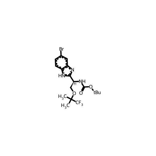 CC(C)(C)OC(=O)N[C@@H](COC(C)(C)C(F)(F)F)c1nc2cc(Br)ccc2[nH]1